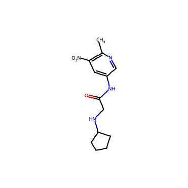 Cc1ncc(NC(=O)CNC2CCCC2)cc1[N+](=O)[O-]